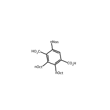 CCCCCCCCCc1cc(C(=O)O)c(CCCCCCCC)c(CCCCCCCC)c1C(=O)O